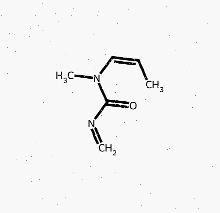 C=NC(=O)N(C)/C=C\C